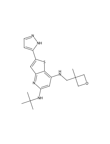 CC1(CNc2cc(NC(C)(C)C)nc3cc(-c4ccn[nH]4)sc23)COC1